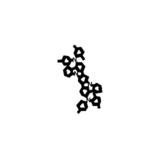 Cc1ccc(N(c2cc(C)ccc2C)c2ccc3c4cc5c(cc4n4c6ccccc6c2c34)c2ccc(N(c3ccc(C)cc3)c3cc(C)ccc3C)c3c4ccccc4n5c23)cc1